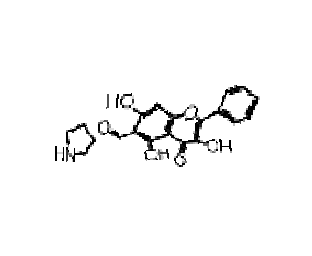 C1CCNC1.O=Cc1c(O)cc2oc(-c3ccccc3)c(O)c(=O)c2c1O